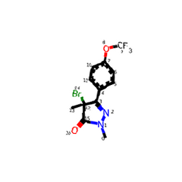 CN1N=C(c2ccc(OC(F)(F)F)cc2)C(C)(Br)C1=O